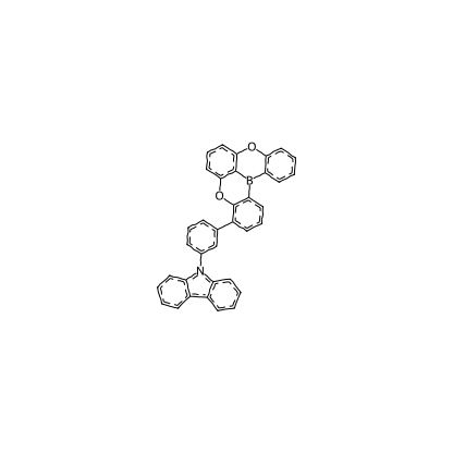 c1cc(-c2cccc3c2Oc2cccc4c2B3c2ccccc2O4)cc(-n2c3ccccc3c3ccccc32)c1